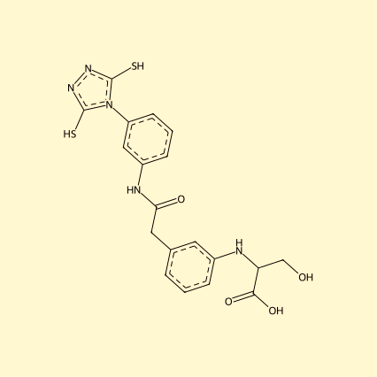 O=C(Cc1cccc(NC(CO)C(=O)O)c1)Nc1cccc(-n2c(S)nnc2S)c1